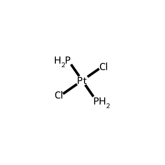 [PH2][Pt]([PH2])([Cl])[Cl]